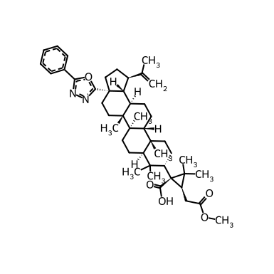 C=C(C)[C@@H]1CC[C@]2(c3nnc(-c4ccccc4)o3)CC[C@]3(C)[C@H](CC[C@@H]4[C@]5(C)CC[C@H]([C@@]6(C(=O)O)[C@H](CC(=O)OC)C6(C)C)C(C)(C)[C@H]5CC[C@]43C)[C@@H]12